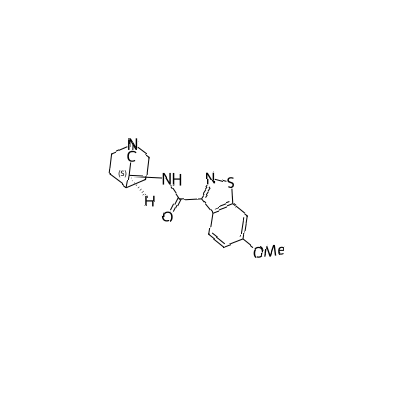 COc1ccc2c(C(=O)N[C@@H]3CN4CCC3CC4)nsc2c1